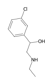 CCNCC(O)c1cccc(Cl)c1